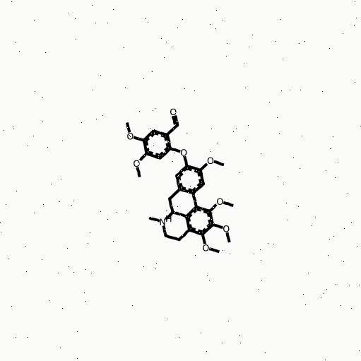 COc1cc(C=O)c(Oc2cc3c(cc2OC)-c2c(OC)c(OC)c(OC)c4c2[C@H](C3)N(C)CC4)cc1OC